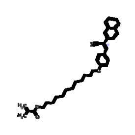 C=C(C)C(=O)OCCCCCCCCCCCCOc1ccc(/C=C(\C#N)c2ccc3ccccc3c2)cc1